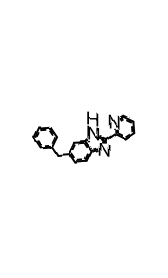 c1ccc(Cc2ccc3nc(-c4ccccn4)[nH]c3c2)cc1